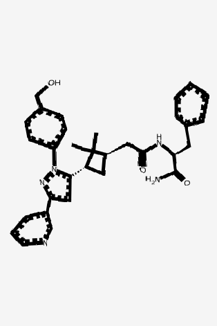 CC1(C)[C@@H](CC(=O)N[C@@H](Cc2ccccc2)C(N)=O)C[C@@H]1c1cc(-c2cccnc2)nn1-c1ccc(CO)cc1